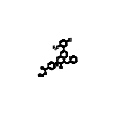 CC(C)(C)OC(=O)c1ccc(NC(=O)C(Cc2ccccn2)n2ccc(-c3cc(Cl)ccc3C(F)(F)F)cc2=O)cc1